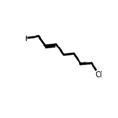 ClCCCCC=CCI